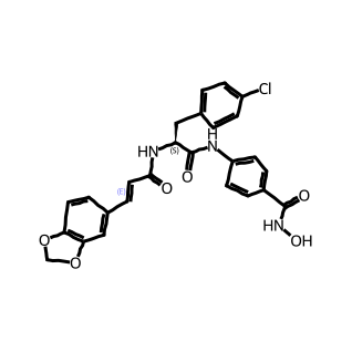 O=C(/C=C/c1ccc2c(c1)OCO2)N[C@@H](Cc1ccc(Cl)cc1)C(=O)Nc1ccc(C(=O)NO)cc1